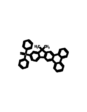 CC1(C)c2cc(P(=S)(c3ccccc3)c3ccccc3)ccc2-c2cc3c4ccccc4c4ccccc4c3cc21